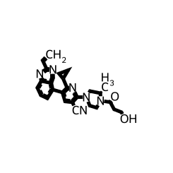 C=Cc1ncc2c(-c3cc(C#N)c(N4CCN(C(=O)CCO)[C@H](C)C4)nc3C3CC3)cccc2n1